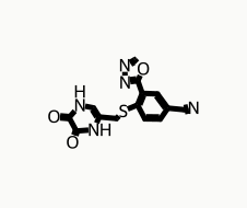 N#Cc1ccc(SCc2c[nH]c(=O)c(=O)[nH]2)c(-c2nnco2)c1